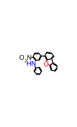 O=[N+]([O-])c1ccc(-c2cccc3c2oc2ccccc23)cc1Nc1ccccc1